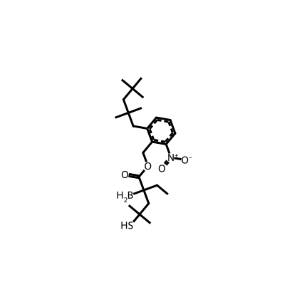 BC(CC)(CC(C)(C)S)C(=O)OCc1c(CC(C)(C)CC(C)(C)C)cccc1[N+](=O)[O-]